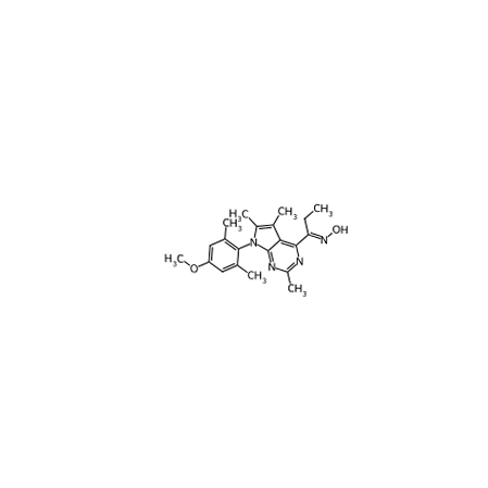 CC/C(=N\O)c1nc(C)nc2c1c(C)c(C)n2-c1c(C)cc(OC)cc1C